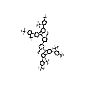 N#Cc1ccc(-c2ccc(C#N)c(-n3c4ccc(-c5ccc(C(F)(F)F)cc5C(F)(F)F)cc4c4cc(-c5ccc(C(F)(F)F)cc5C(F)(F)F)ccc43)c2)cc1-n1c2ccc(-c3ccc(C(F)(F)F)cc3C(F)(F)F)cc2c2cc(-c3ccc(C(F)(F)F)cc3C(F)(F)F)ccc21